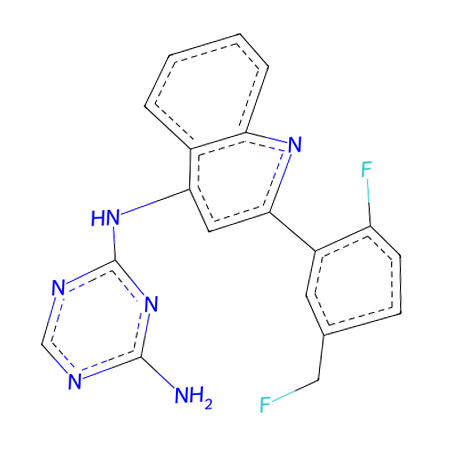 Nc1ncnc(Nc2cc(-c3cc(CF)ccc3F)nc3ccccc23)n1